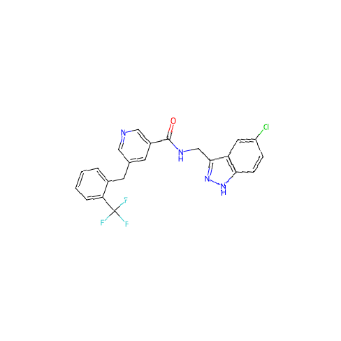 O=C(NCc1n[nH]c2ccc(Cl)cc12)c1cncc(Cc2ccccc2C(F)(F)F)c1